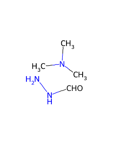 CN(C)C.NNC=O